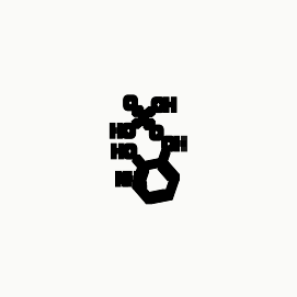 N.O=S(=O)(O)O.Oc1ccccc1O